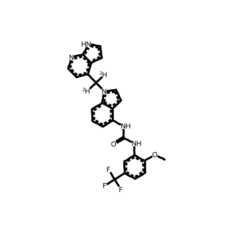 [2H]C([2H])(c1ccnc2[nH]ccc12)n1ccc2c(NC(=O)Nc3cc(C(F)(F)F)ccc3OC)cccc21